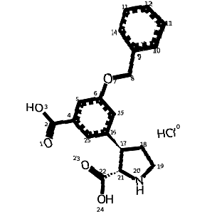 Cl.O=C(O)c1cc(OCc2ccccc2)cc([C@H]2CCN[C@@H]2C(=O)O)c1